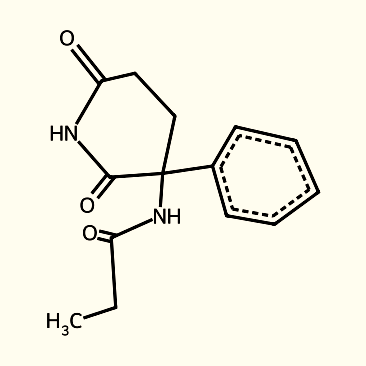 CCC(=O)NC1(c2ccccc2)CCC(=O)NC1=O